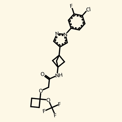 O=C(COC1(OC(F)(F)F)CCC1)NC12CC(c3cnn(-c4ccc(Cl)c(F)c4)c3)(C1)C2